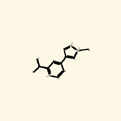 CC(C)c1cc(-c2cnn(C)c2)ccn1